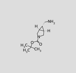 CC(C)(C)OC(=O)N1C[C@@H]2[C@@H](CN)[C@@H]2C1